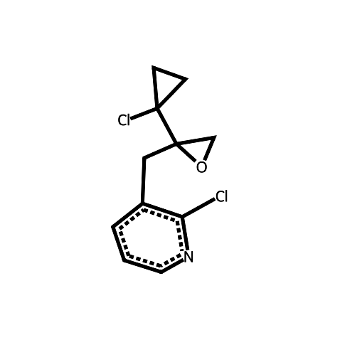 Clc1ncccc1CC1(C2(Cl)CC2)CO1